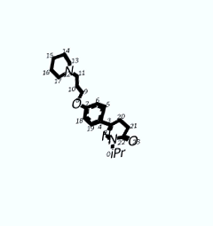 CC(C)N1N=C(c2ccc(OCCCN3CCCCC3)cc2)CCC1=O